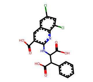 O=C(O)c1cc2cc(Cl)cc(Cl)c2nc1NC(C(=O)O)C(C(=O)O)c1ccccc1